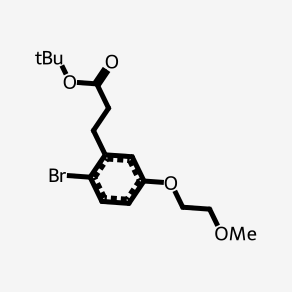 COCCOc1ccc(Br)c(CCC(=O)OC(C)(C)C)c1